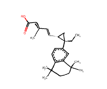 CC[C@]1(c2ccc3c(c2)C(C)(C)CCC3(C)C)C[C@H]1/C=C/C(C)=C/C(=O)O